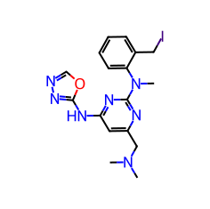 CN(C)Cc1cc(Nc2nnco2)nc(N(C)c2ccccc2CI)n1